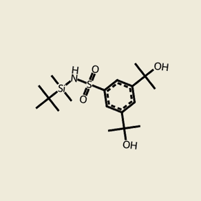 CC(C)(O)c1cc(C(C)(C)O)cc(S(=O)(=O)N[Si](C)(C)C(C)(C)C)c1